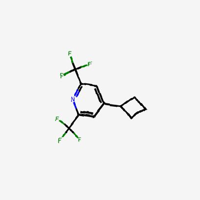 FC(F)(F)c1cc([C]2CCC2)cc(C(F)(F)F)n1